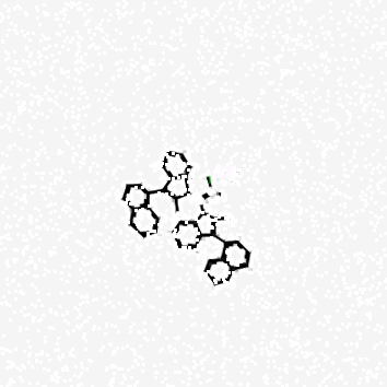 CC1=C(c2cccc3ccccc23)c2ccccc2[CH]1[Zr]([CH]1C(C)=C(c2cccc3ccccc23)c2ccccc21)=[Si](C)C.Cl.Cl